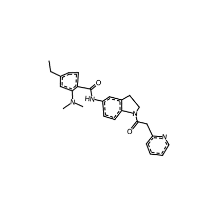 CCc1ccc(C(=O)Nc2ccc3c(c2)CCN3C(=O)Cc2ccccn2)c(N(C)C)c1